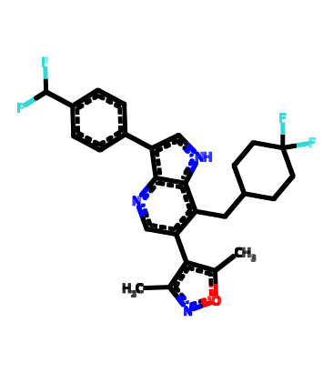 Cc1noc(C)c1-c1cnc2c(-c3ccc(C(F)F)cc3)c[nH]c2c1CC1CCC(F)(F)CC1